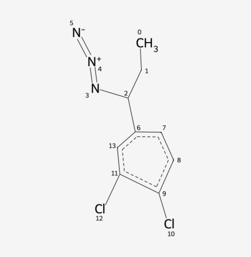 CCC(N=[N+]=[N-])c1ccc(Cl)c(Cl)c1